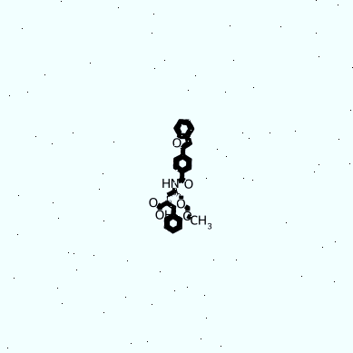 COCOC[C@H](C[C@H](Cc1ccccc1)C(=O)O)NC(=O)c1ccc(-c2cc3ccccc3o2)cc1